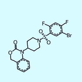 O=C1OCc2ccccc2N1C1CCN(S(=O)(=O)c2cc(Br)c(F)cc2F)CC1